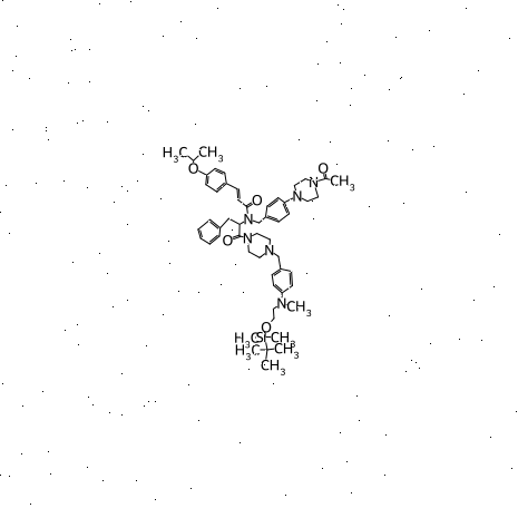 CC(=O)N1CCN(c2ccc(CN(C(=O)C=Cc3ccc(OC(C)C)cc3)C(Cc3ccccc3)C(=O)N3CCN(Cc4ccc(N(C)CCO[Si](C)(C)C(C)(C)C)cc4)CC3)cc2)CC1